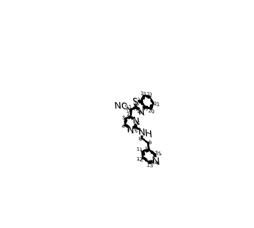 N#C[C@H](c1ccnc(NCCc2cccnc2)n1)c1nc2ccccc2s1